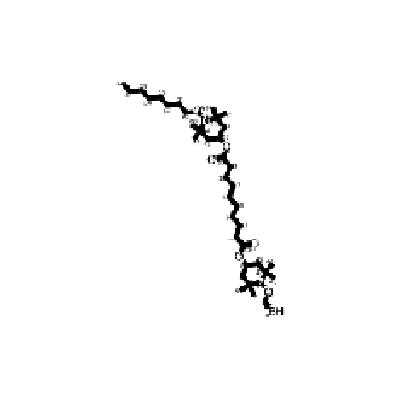 B=CON1C(C)(C)CC(OC(=O)CCCCCCCCC(=O)OC2CC(C)(C)N(OCCCCCCCC)C(C)(C)C2)CC1(C)C